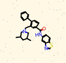 CC1CC(C)CN(Cc2cc(C(=O)Nc3ccc4scnc4c3)ccc2-c2ccccc2)C1